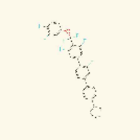 Fc1ccc(OC(F)(F)c2c(F)cc(-c3ccc(-c4ccc(C5CCCC5)cc4)cc3F)cc2F)cc1F